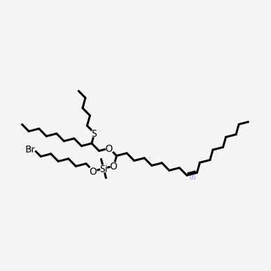 CCCCCCCC/C=C\CCCCCCCC(OCC(CCCCCCCC)SCCCCC)O[Si](C)(C)OCCCCCCBr